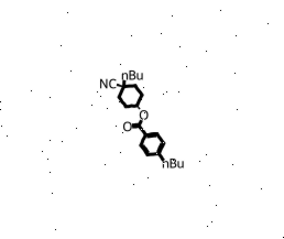 CCCCc1ccc(C(=O)O[C@H]2CC[C@@](C#N)(CCCC)CC2)cc1